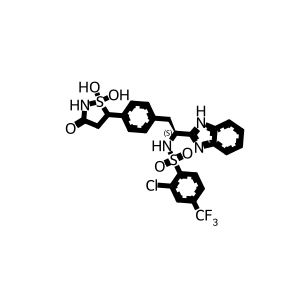 O=C1CC(c2ccc(C[C@H](NS(=O)(=O)c3ccc(C(F)(F)F)cc3Cl)c3nc4ccccc4[nH]3)cc2)S(O)(O)N1